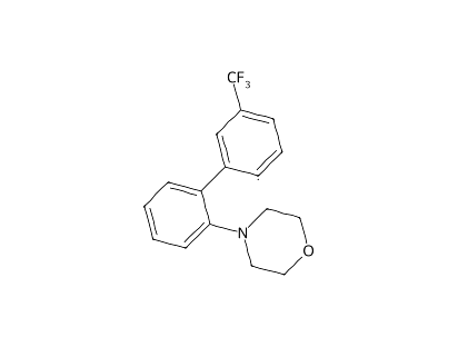 FC(F)(F)c1cc[c]c(-c2ccccc2N2CCOCC2)c1